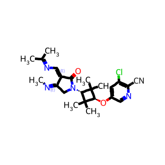 C/N=C1/CN([C@H]2C(C)(C)[C@H](Oc3cnc(C#N)c(Cl)c3)C2(C)C)C(=O)/C1=C/N=C(C)C